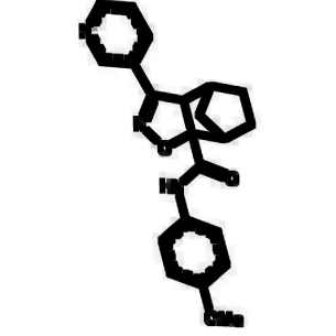 COc1ccc(NC(=O)C23ON=C(c4cccnc4)C2C2CCC3C2)cc1